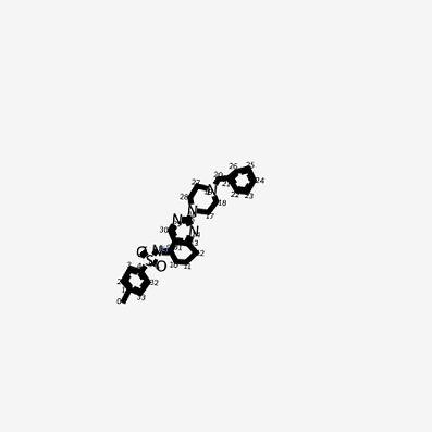 Cc1ccc(S(=O)(=O)/N=C2\CCCc3nc(N4CCN(Cc5ccccc5)CC4)ncc32)cc1